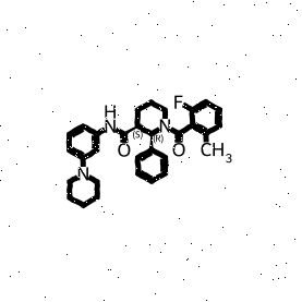 Cc1cccc(F)c1C(=O)N1CCC[C@H](C(=O)Nc2cccc(N3CCCCC3)c2)[C@@H]1c1ccccc1